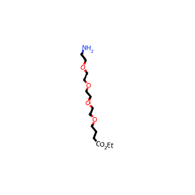 CCOC(=O)CCCOCCOCCOCCOCCN